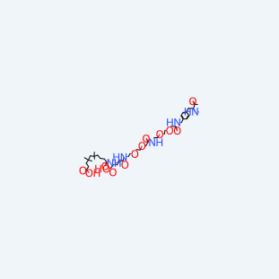 CNC(Cc1ccc(CNC(=O)COCCOCCNC(=O)COCCOCCNC(=O)CC[C@H](NC(=O)CCCC(C)(C)CC(C)(C)CCC(=O)O)C(=O)O)cc1)C(C)=O